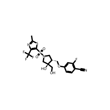 Cc1nc(C(F)(F)F)c(S(=O)(=O)N2C[C@H](COc3ccc(C#N)c(F)c3)[C@](O)(CO)C2)s1